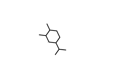 CC(C)C1[CH]C(C)C(C)CC1